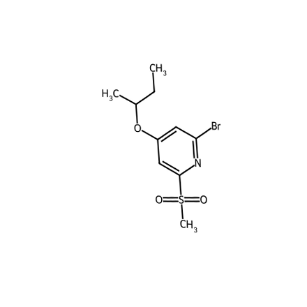 CCC(C)Oc1cc(Br)nc(S(C)(=O)=O)c1